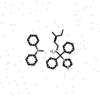 CB(c1ccccc1)c1ccccc1.CCC(C)=CC[SiH2]C(c1ccccc1)(c1ccccc1)n1ccnc1